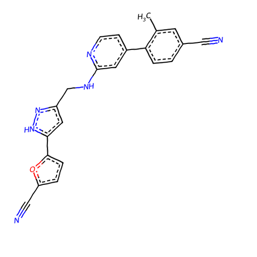 Cc1cc(C#N)ccc1-c1ccnc(NCc2cc(-c3ccc(C#N)o3)[nH]n2)c1